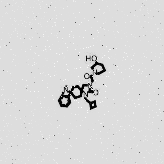 CN(C)C1(c2ccccc2)CCC2(CC1)CN(CC(=O)N1CCCC(O)C1)C(=O)N2CC1CCC1